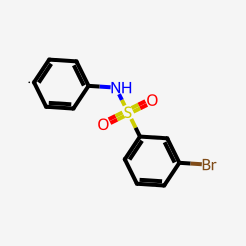 O=S(=O)(Nc1cc[c]cc1)c1cccc(Br)c1